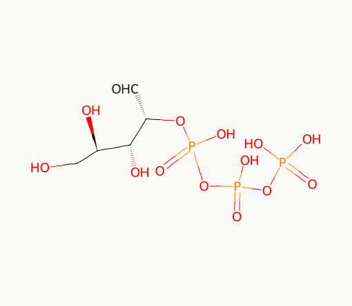 O=C[C@H](OP(=O)(O)OP(=O)(O)OP(=O)(O)O)[C@H](O)[C@H](O)CO